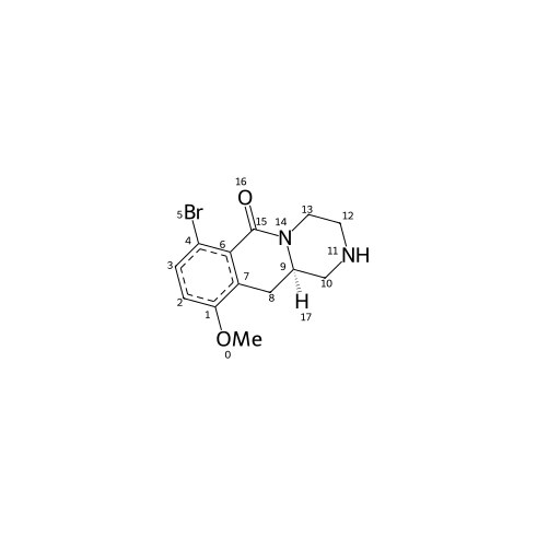 COc1ccc(Br)c2c1C[C@@H]1CNCCN1C2=O